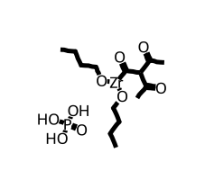 CCCC[O][Zr]([O]CCCC)[C](=O)C(C(C)=O)C(C)=O.O=P(O)(O)O